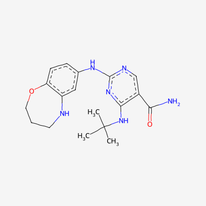 CC(C)(C)Nc1nc(Nc2ccc3c(c2)NCCCO3)ncc1C(N)=O